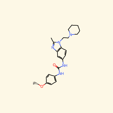 Cc1nc2cc(NC(=O)Nc3ccc(OC(C)C)cc3)ccc2n1CCN1CCCCC1